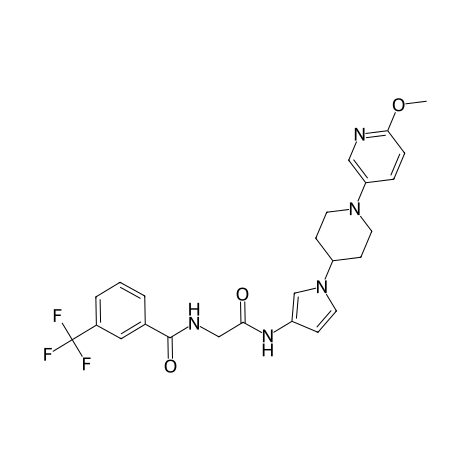 COc1ccc(N2CCC(n3ccc(NC(=O)CNC(=O)c4cccc(C(F)(F)F)c4)c3)CC2)cn1